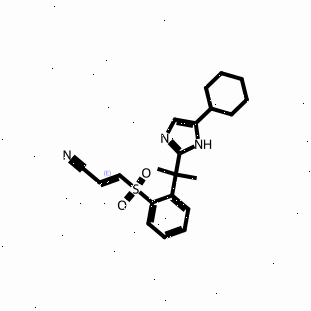 CC(C)(c1ncc(C2CCCCC2)[nH]1)c1ccccc1S(=O)(=O)/C=C/C#N